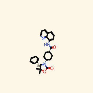 CC1(C)OC(=O)N([C@H]2CC[C@H](C(=O)Nc3cccc4cccnc34)CC2)[C@H]1c1ccccc1